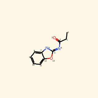 CCC(=O)/N=C1\[N]c2ccccc2O1